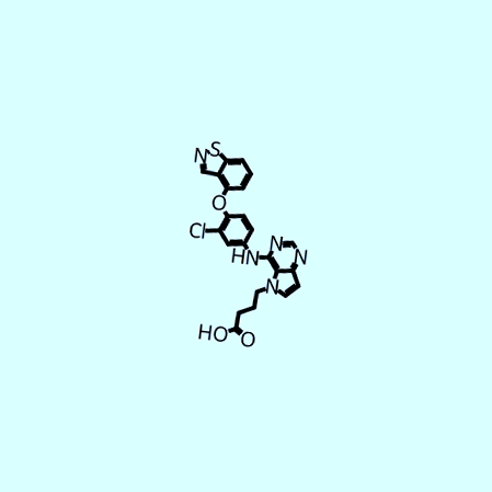 O=C(O)CCCn1ccc2ncnc(Nc3ccc(Oc4cccc5sncc45)c(Cl)c3)c21